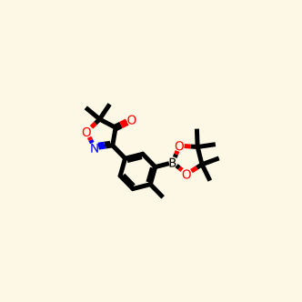 Cc1ccc(C2=NOC(C)(C)C2=O)cc1B1OC(C)(C)C(C)(C)O1